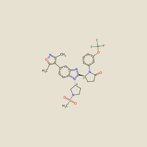 Cc1noc(C)c1-c1ccc2c(c1)nc([C@@H]1CCC(=O)N1c1cccc(OC(F)(F)F)c1)n2[C@@H]1CCN(S(C)(=O)=O)C1